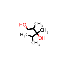 CC(C)C(C)(O)C(C)CO